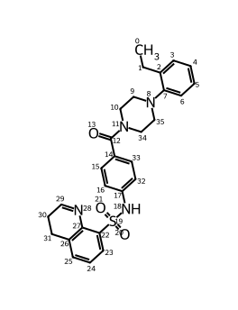 CCc1ccccc1N1CCN(C(=O)c2ccc(NS(=O)(=O)c3cccc4c3N=CCC4)cc2)CC1